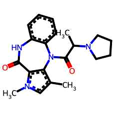 Cc1cn(C)c2c1N(C(=O)C(C)N1CCCC1)c1ccccc1NC2=O